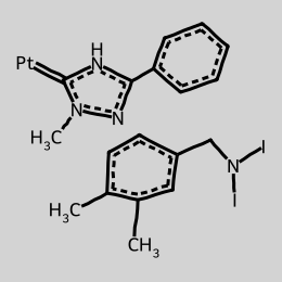 Cc1ccc(CN(I)I)cc1C.Cn1nc(-c2ccccc2)[nH][c]1=[Pt]